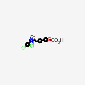 CCn1cc(-c2ccc(Cl)cc2Cl)nc1C=Cc1ccc(-c2ccc(OCC(=O)O)cc2)cc1